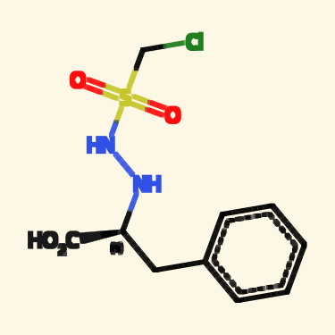 O=C(O)[C@H](Cc1ccccc1)NNS(=O)(=O)CCl